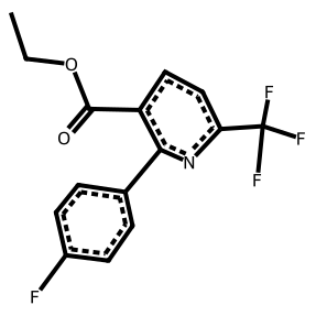 CCOC(=O)c1ccc(C(F)(F)F)nc1-c1ccc(F)cc1